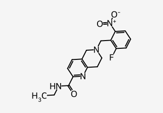 CCNC(=O)c1ccc2c(n1)CCN(Cc1c(F)cccc1[N+](=O)[O-])C2